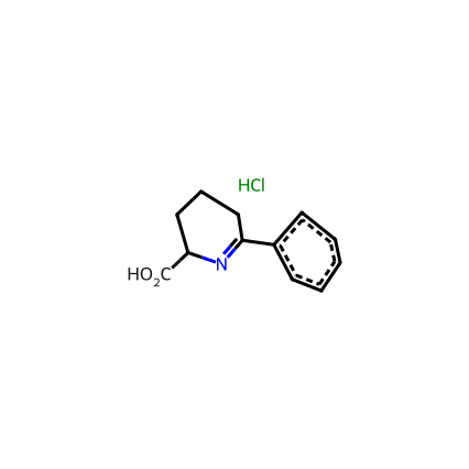 Cl.O=C(O)C1CCCC(c2ccccc2)=N1